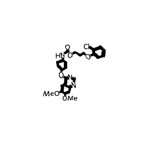 COc1cc2ncnc(Oc3ccc(NC(=O)OCCCOc4ccccc4Cl)cc3)c2cc1OC